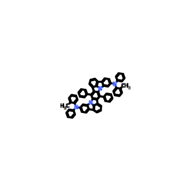 Cc1ccccc1N(c1ccccc1)c1ccc2c3cccc4c5c(-c6ccccc6)c6c(c(-c7ccccc7)c5n(c2c1)c34)c1cccc2c3ccc(N(c4ccccc4)c4ccccc4C)cc3n6c21